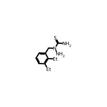 CCc1cccc(CN(N)C(N)=S)c1CC